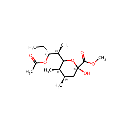 CC[C@@H](OC(C)=O)[C@@H](C)C1O[C@](O)(C(=O)OC)C[C@@H](C)[C@H]1C